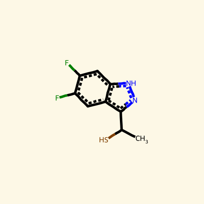 CC(S)c1n[nH]c2cc(F)c(F)cc12